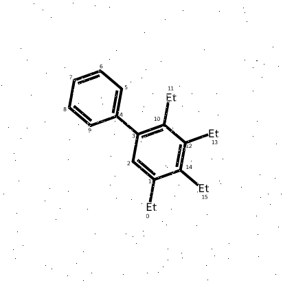 CCc1cc(-c2ccccc2)c(CC)c(CC)c1CC